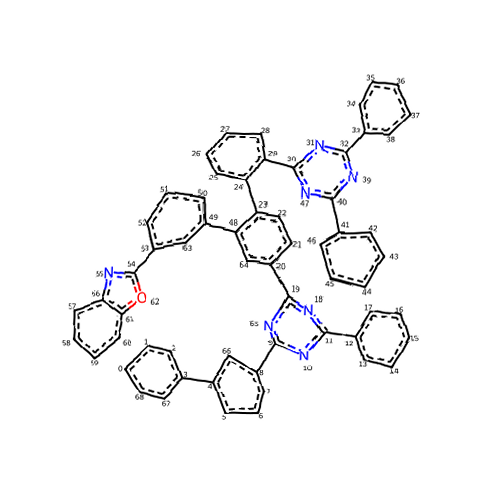 c1ccc(-c2cccc(-c3nc(-c4ccccc4)nc(-c4ccc(-c5ccccc5-c5nc(-c6ccccc6)nc(-c6ccccc6)n5)c(-c5cccc(-c6nc7ccccc7o6)c5)c4)n3)c2)cc1